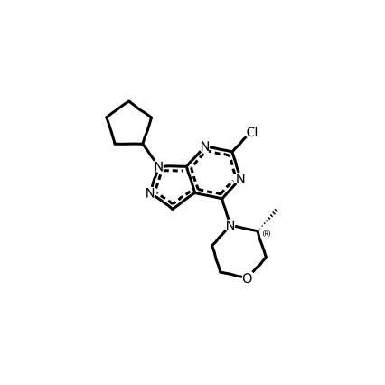 C[C@@H]1COCCN1c1nc(Cl)nc2c1cnn2C1CCCC1